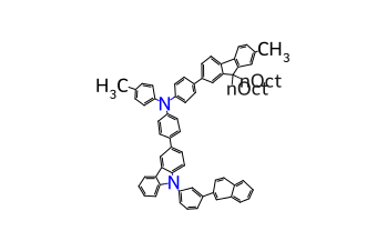 CCCCCCCCC1(CCCCCCCC)c2cc(C)ccc2-c2ccc(-c3ccc(N(c4ccc(C)cc4)c4ccc(-c5ccc6c(c5)c5ccccc5n6-c5cccc(-c6ccc7ccccc7c6)c5)cc4)cc3)cc21